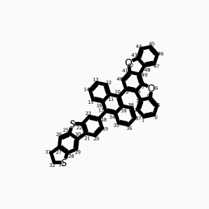 c1ccc2c(c1)oc1c2c(-c2c3ccccc3c(-c3ccc4c(c3)sc3cc5c(cc34)SCC5)c3ccccc23)cc2oc3ccccc3c21